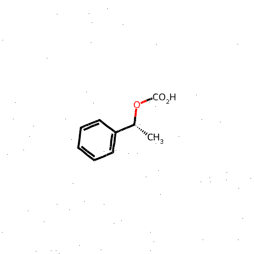 C[C@@H](OC(=O)O)c1ccccc1